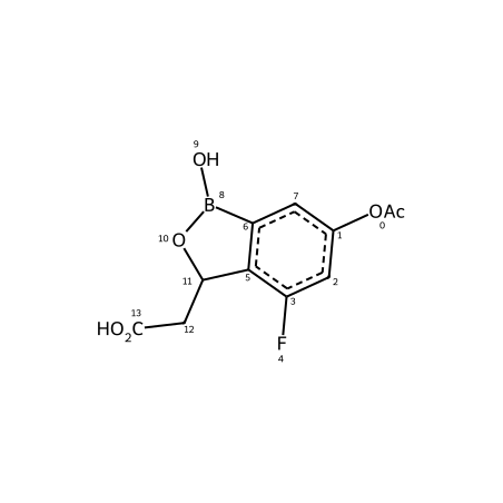 CC(=O)Oc1cc(F)c2c(c1)B(O)OC2CC(=O)O